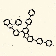 C1=CC(C2=CC3c4cc(-c5ccc(-c6ccccc6)cc5)cc(-c5cccc(-c6nc7ccccc7n6-c6ccccc6)c5)c4OC3C=C2)CC=C1c1ccccc1